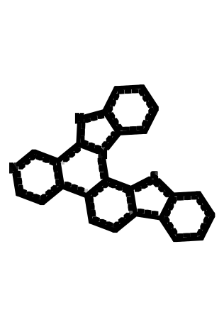 c1ccc2c(c1)nc1c3cnccc3c3ccc4c5ccccc5sc4c3n21